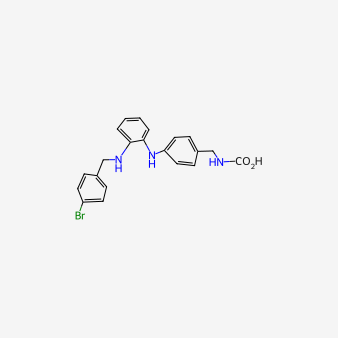 O=C(O)NCc1ccc(Nc2ccccc2NCc2ccc(Br)cc2)cc1